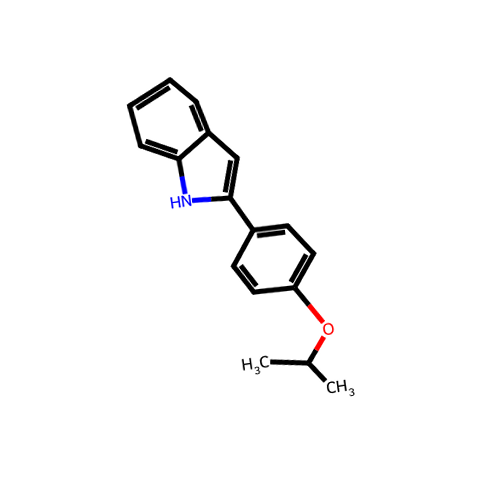 CC(C)Oc1ccc(-c2cc3ccccc3[nH]2)cc1